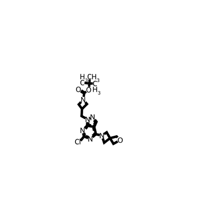 CC(C)(C)OC(=O)N1CC(Cn2ncc3c(N4CC5(COC5)C4)nc(Cl)nc32)C1